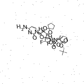 C[C@H](NP(=O)(OC[C@@]1(C(F)F)O[C@@H](n2ccc(N)nc2=O)[C@@H]2OC3(CCCC3)O[C@@H]21)Oc1ccccc1)C(=O)OCC(C)(C)C